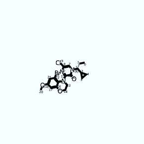 CC[C@H](C1CC1)n1cc(Cl)nc(N2CCOc3cc(OC)cc(Br)c32)c1=O